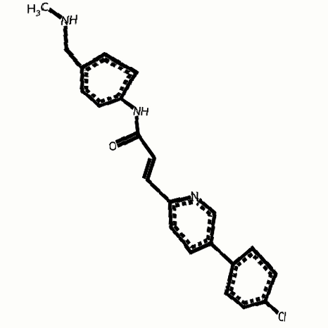 CNCc1ccc(NC(=O)C=Cc2ccc(-c3ccc(Cl)cc3)cn2)cc1